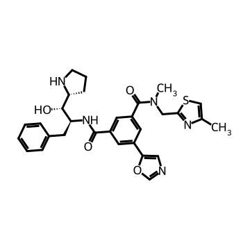 Cc1csc(CN(C)C(=O)c2cc(C(=O)N[C@@H](Cc3ccccc3)[C@H](O)[C@H]3CCCN3)cc(-c3cnco3)c2)n1